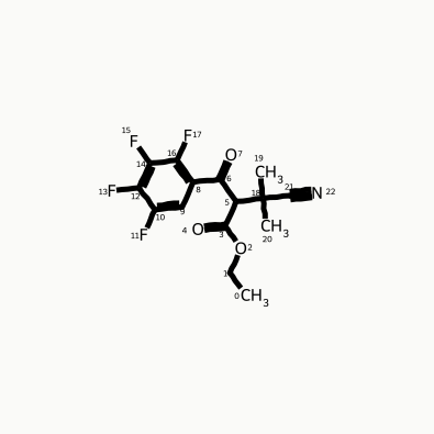 CCOC(=O)C(C(=O)c1cc(F)c(F)c(F)c1F)C(C)(C)C#N